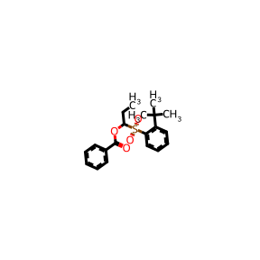 CCC(OC(=O)c1ccccc1)S(=O)(=O)c1ccccc1C(C)(C)C